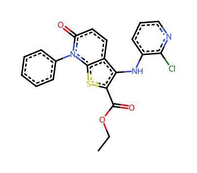 CCOC(=O)c1sc2c(ccc(=O)n2-c2ccccc2)c1Nc1cccnc1Cl